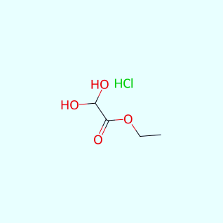 CCOC(=O)C(O)O.Cl